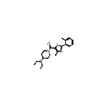 CCN(CC)C1CCN(C(=O)c2sc(-c3ccccc3C)nc2C)CC1